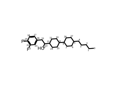 CCCCCC1CCC(C2CCC(C(O)Cc3ccc(F)c(F)c3)CC2)CC1